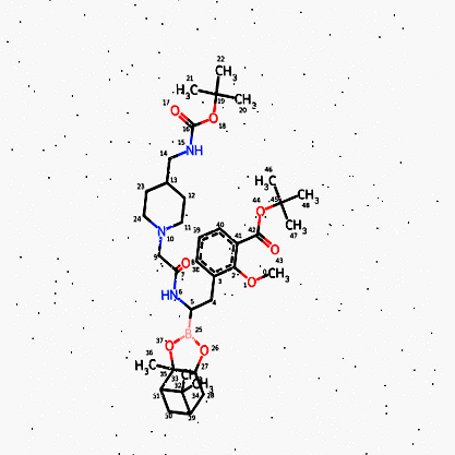 COc1c(CC(NC(=O)CN2CCC(CNC(=O)OC(C)(C)C)CC2)B2OC3CC4CC(C4(C)C)C3(C)O2)cccc1C(=O)OC(C)(C)C